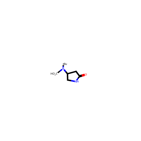 CC(C)(C)N(C(=O)O)C1CNC(=O)C1